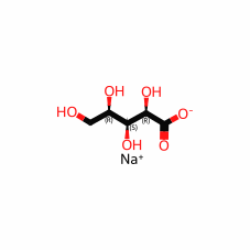 O=C([O-])[C@H](O)[C@@H](O)[C@H](O)CO.[Na+]